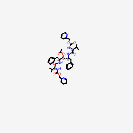 CC(=O)O[C@@H](C[C@H](Cc1ccccc1)NC(=O)[C@@H](NC(=O)OCc1ccccn1)C(C)C)[C@H](Cc1ccccc1)NC(=O)[C@@H](NC(=O)OCc1ccccn1)C(C)C